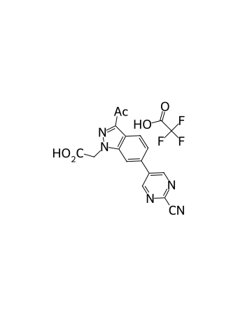 CC(=O)c1nn(CC(=O)O)c2cc(-c3cnc(C#N)nc3)ccc12.O=C(O)C(F)(F)F